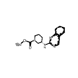 CC(C)(C)OC(=O)N1CCC[C@H](Nc2ncc3ccccc3n2)C1